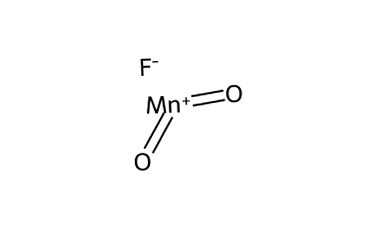 [F-].[O]=[Mn+]=[O]